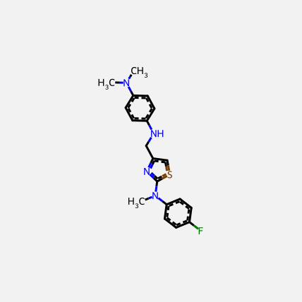 CN(C)c1ccc(NCc2csc(N(C)c3ccc(F)cc3)n2)cc1